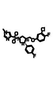 Cn1cnc(S(=O)(=O)N2C[C@@H](COc3ccc(F)c(Cl)c3)[C@H](c3ccc(F)cc3)C2)c1